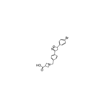 O=C(O)C1CN(Cc2ccc(C3=NOC(c4ccc(Br)cc4)C3)cc2)C1